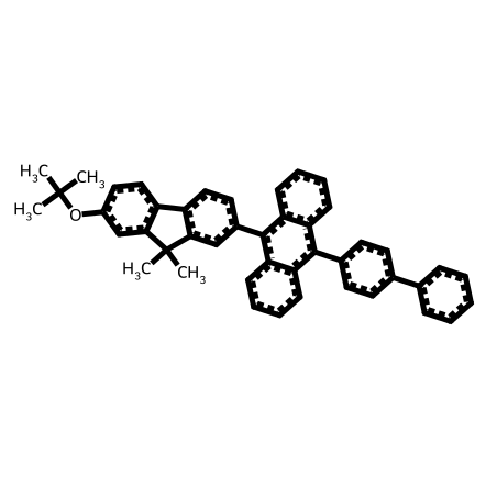 CC(C)(C)Oc1ccc2c(c1)C(C)(C)c1cc(-c3c4ccccc4c(-c4ccc(-c5ccccc5)cc4)c4ccccc34)ccc1-2